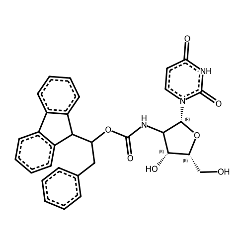 O=C(NC1[C@@H](O)[C@@H](CO)O[C@H]1n1ccc(=O)[nH]c1=O)OC(Cc1ccccc1)C1c2ccccc2-c2ccccc21